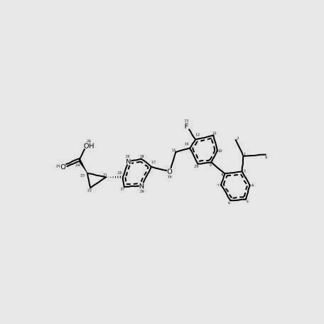 CC(C)c1ccccc1-c1ccc(F)c(COc2cnc([C@@H]3C[C@H]3C(=O)O)cn2)c1